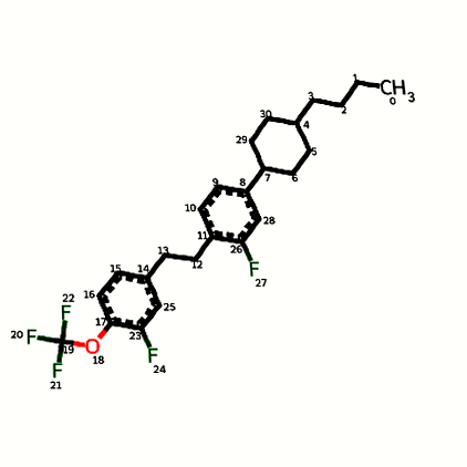 CCCCC1CCC(c2ccc(CCc3ccc(OC(F)(F)F)c(F)c3)c(F)c2)CC1